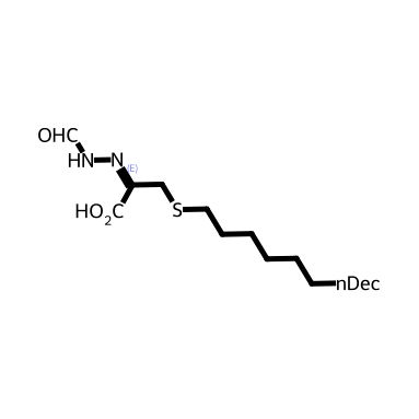 CCCCCCCCCCCCCCCCSC/C(=N/NC=O)C(=O)O